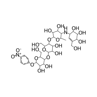 CC1OC(OC2C(CO)OC(OC3C(CO)OC(Oc4ccc([N+](=O)[O-])cc4)C(O)C3O)C(O)C2O)C(O)C(O)C1NC1C=C(CO)C(O)C(O)C1O